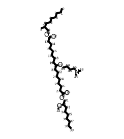 CCCCCCCC(C)COC(=O)CCCCCCCC(CCCCCCCC(=O)OCC(CCCCCCC)OC)OCCCCN(C)C